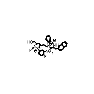 CC(C)CN([C@@H](CO)CCCCNC(=O)[C@H](Cc1ccc2ccccc2c1)NS(=O)(=O)c1ccccc1)S(=O)(=O)c1ccc(F)c(N)c1